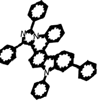 c1ccc(-c2ccc3c4c5c6ccccc6n6c(-c7ccccc7)nc(-c7ccccc7)c6c5ccc4n(-c4ccccc4)c3c2)cc1